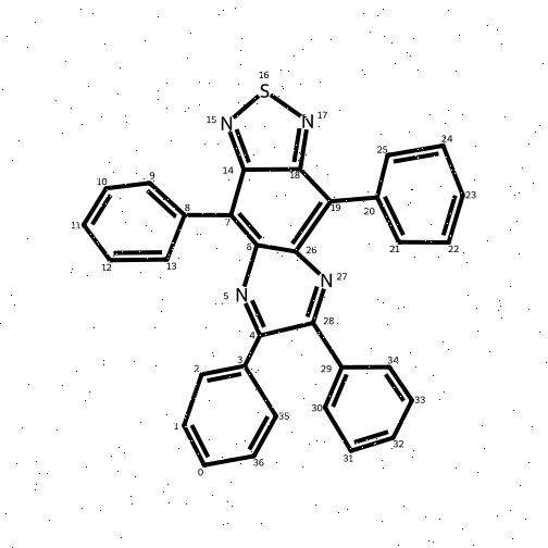 c1ccc(-c2nc3c(-c4ccccc4)c4nsnc4c(-c4ccccc4)c3nc2-c2ccccc2)cc1